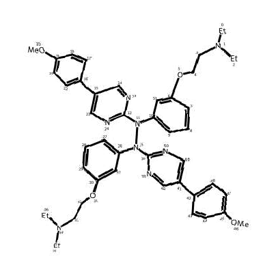 CCN(CC)CCOc1cccc(N(c2ncc(-c3ccc(OC)cc3)cn2)N(c2cccc(OCCN(CC)CC)c2)c2ncc(-c3ccc(OC)cc3)cn2)c1